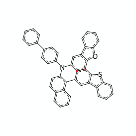 c1ccc(-c2ccc(N(c3ccc4oc5ccccc5c4c3)c3ccc4ccccc4c3-c3ccc4sc5ccccc5c4c3)cc2)cc1